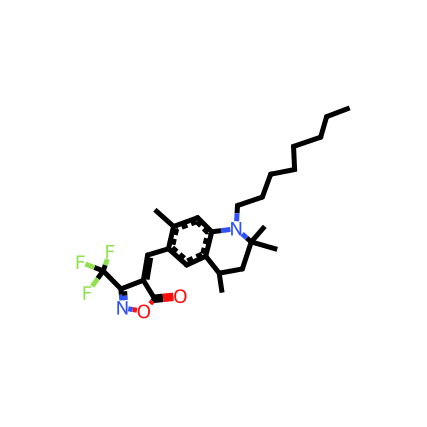 CCCCCCCCN1c2cc(C)c(C=C3C(=O)ON=C3C(F)(F)F)cc2C(C)CC1(C)C